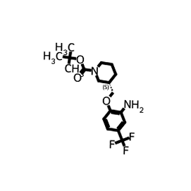 CC(C)(C)OC(=O)N1CCC[C@H](COc2ccc(C(F)(F)F)cc2N)C1